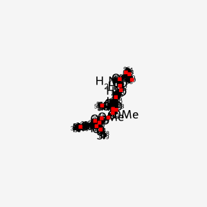 COc1cc2c(cc1OCCCOc1cc3c(cc1OC)C(=O)N1C=C(c4ccc(N5CCN(C)CC5)cc4)C[C@H]1C(=O)N3COCC[Si](C)(C)C)N(COCC[Si](C)(C)C)C(=O)[C@@H]1CC(c3ccc(NC(=O)[C@H](C)NC(=O)C(OC(N)=O)[C@@H](C)CCC4c5ccccc5-c5ccccc54)cc3)=CN1C2=O